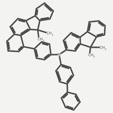 CC1(C)c2ccccc2-c2ccc(N(c3ccc(-c4ccccc4)cc3)c3ccc(-c4cccc5ccc6c(c45)C(C)(C)c4ccccc4-6)cc3)cc21